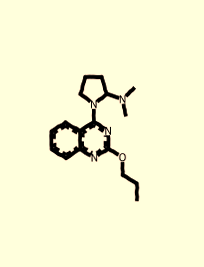 CCCOc1nc(N2CCCC2N(C)C)c2ccccc2n1